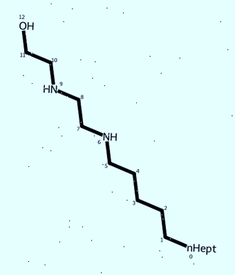 CCCCCCCCCCCCNCCNCCO